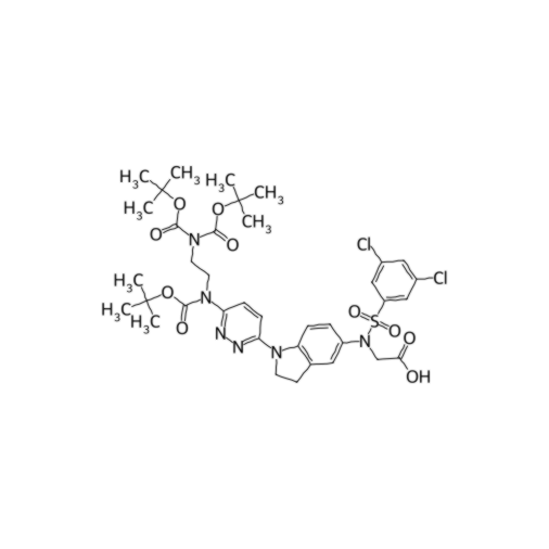 CC(C)(C)OC(=O)N(CCN(C(=O)OC(C)(C)C)c1ccc(N2CCc3cc(N(CC(=O)O)S(=O)(=O)c4cc(Cl)cc(Cl)c4)ccc32)nn1)C(=O)OC(C)(C)C